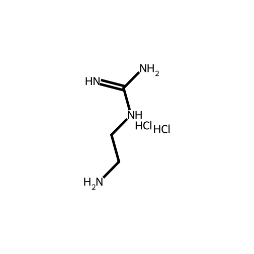 Cl.Cl.N=C(N)NCCN